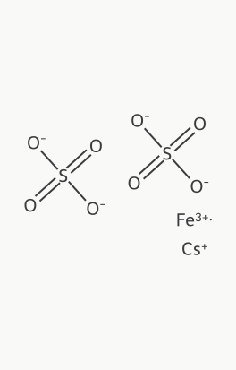 O=S(=O)([O-])[O-].O=S(=O)([O-])[O-].[Cs+].[Fe+3]